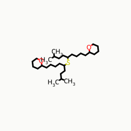 CC(C)CCC(CCCCC1CCCCO1)SC(CCCCC1CCCCO1)CCC(C)C